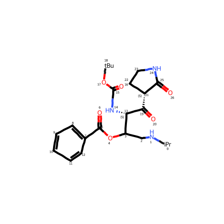 CC(C)NCC(OC(=O)c1ccccc1)[C@H](NC(=O)OC(C)(C)C)C(=O)[C@@H]1CCNC1=O